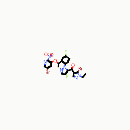 CCn1ncc(C(=O)c2c(F)cnn2-c2ccc(F)cc2C(C)Oc2cc(Br)cnc2[N+](=O)[O-])c1Br